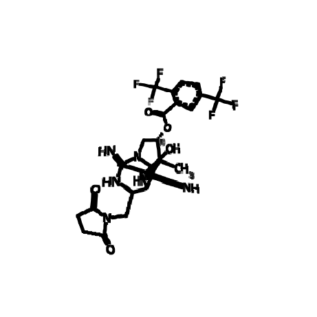 CC1[C@@H](OC(=O)c2cc(C(F)(F)F)ccc2C(F)(F)F)CN2C(=N)NC(CN3C(=O)CCC3=O)C3NC(=N)N(O)C312